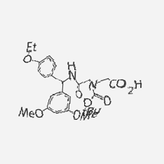 CCOc1ccc(C(NC(=O)CN(CC(=O)O)C(=O)OC(C)(C)C)c2cc(OC)cc(OC)c2)cc1